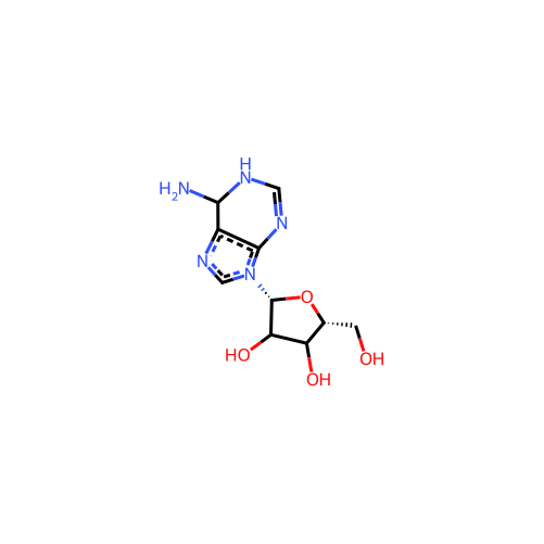 NC1NC=Nc2c1ncn2[C@@H]1O[C@H](CO)C(O)C1O